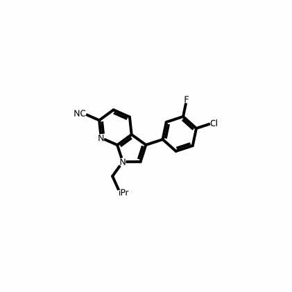 CC(C)Cn1cc(-c2ccc(Cl)c(F)c2)c2ccc(C#N)nc21